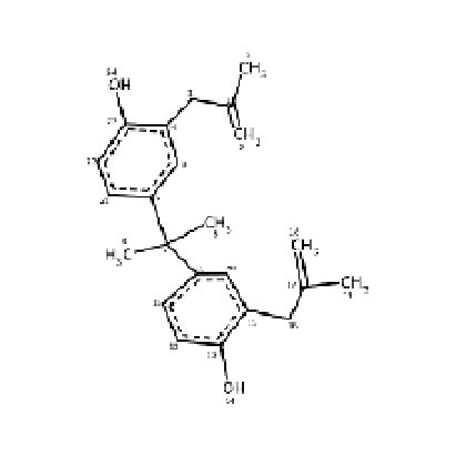 C=C(C)Cc1cc(C(C)(C)c2ccc(O)c(CC(=C)C)c2)ccc1O